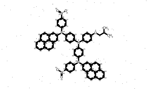 CC(C)COc1ccc(N(c2ccc(N(c3ccc([N+](=O)[O-])cc3)c3cc4ccc5cccc6ccc(c3)c4c56)cc2)c2ccc(N(c3ccc([N+](=O)[O-])cc3)c3cc4ccc5cccc6ccc(c3)c4c56)cc2)cc1